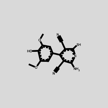 COc1cc(-c2c(C#N)c(N)nc(S)c2C#N)cc(OC)c1O